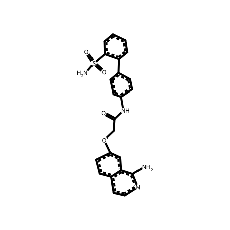 Nc1nccc2ccc(OCC(=O)Nc3ccc(-c4ccccc4S(N)(=O)=O)cc3)cc12